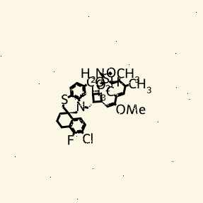 COC(=C[C@@H]1CC[C@H]1CN1C[C@@]2(CCCc3c2ccc(Cl)c3F)CSc2ccc(C(=O)O)cc21)/C(C)=C/C(C)[C@H](C)CS(N)(=O)=O